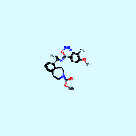 C=C(/N=C(\ON)c1ccc(OC(C)C)c(C#N)c1)c1cccc2c1CCN(C(=O)OC(C)(C)C)CC2